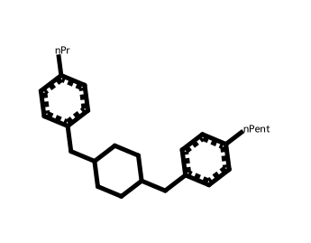 CCCCCc1ccc(CC2CCC(Cc3ccc(CCC)cc3)CC2)cc1